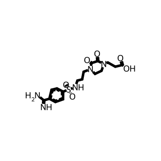 N=C(N)c1ccc(S(=O)(=O)NCCCN2CCN(CCC(=O)O)C(=O)C2=O)cc1